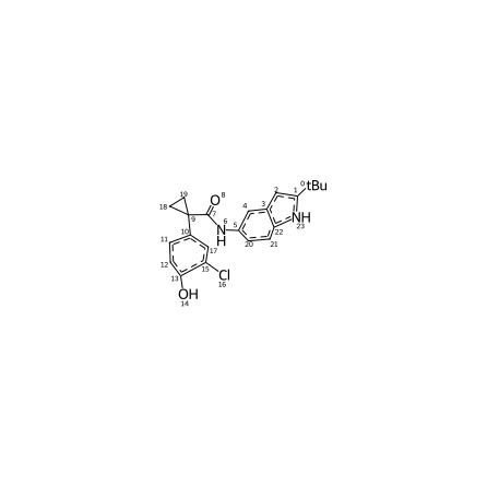 CC(C)(C)c1cc2cc(NC(=O)C3(c4ccc(O)c(Cl)c4)CC3)ccc2[nH]1